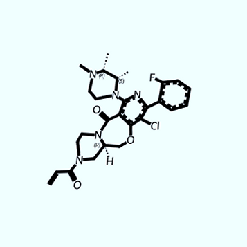 C=CC(=O)N1CCN2C(=O)c3c(N4CCN(C)[C@H](C)[C@@H]4C)nc(-c4ccccc4F)c(Cl)c3OC[C@H]2C1